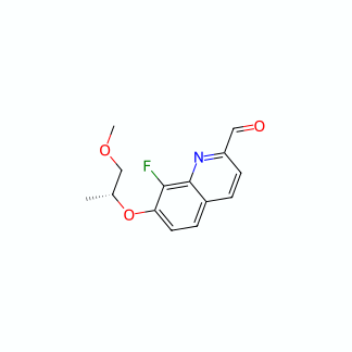 COC[C@@H](C)Oc1ccc2ccc(C=O)nc2c1F